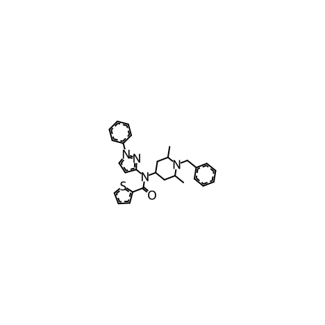 CC1CC(N(C(=O)c2cccs2)c2ccn(-c3ccccc3)n2)CC(C)N1Cc1ccccc1